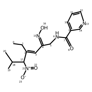 CC/C(=C\C(CNC(=O)c1cccnc1)=NO)C(C(C)C)[N+](=O)[O-]